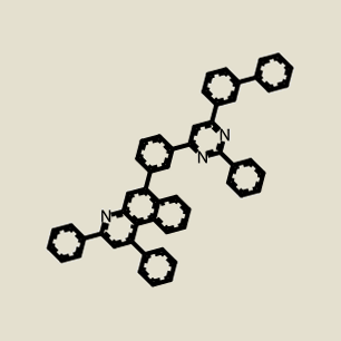 c1ccc(-c2cccc(-c3cc(-c4cccc(-c5cc6nc(-c7ccccc7)cc(-c7ccccc7)c6c6ccccc56)c4)nc(-c4ccccc4)n3)c2)cc1